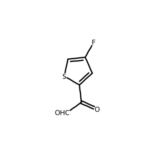 O=CC(=O)c1cc(F)cs1